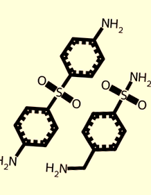 NCc1ccc(S(N)(=O)=O)cc1.Nc1ccc(S(=O)(=O)c2ccc(N)cc2)cc1